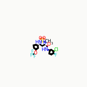 CN1[C@H](C(=O)Nc2ccc(F)c(Cl)c2)C[C@H](c2cccc(OC(F)(F)F)c2)NS1(=O)=O